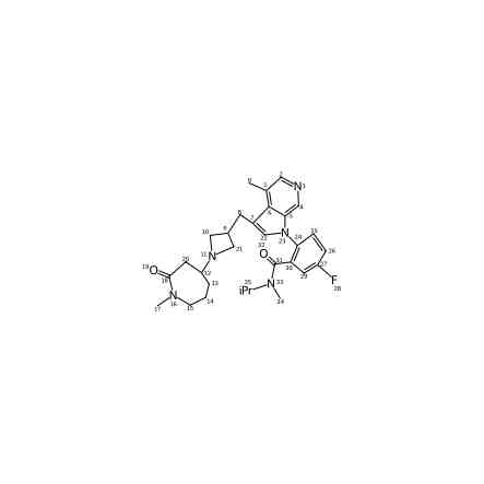 Cc1cncc2c1c(CC1CN(C3CCCN(C)C(=O)C3)C1)cn2-c1ccc(F)cc1C(=O)N(C)C(C)C